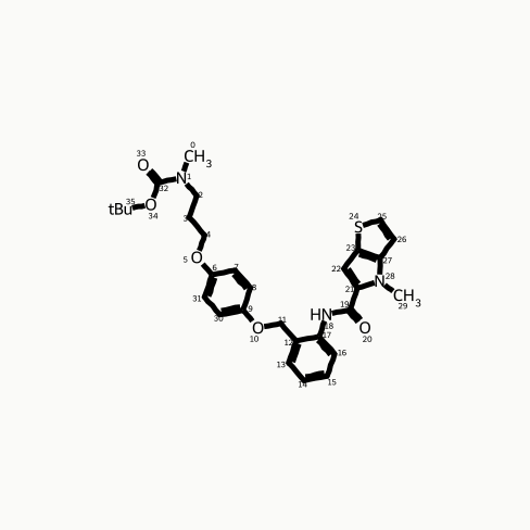 CN(CCCOc1ccc(OCc2ccccc2NC(=O)c2cc3sccc3n2C)cc1)C(=O)OC(C)(C)C